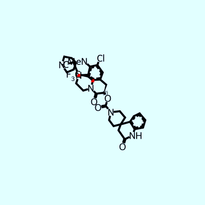 CNc1c(Cl)cc(C[C@@H](OC(=O)N2CCC3(CC2)CC(=O)Nc2ccccc23)C(=O)N2CCN(C3CN4CCC3CC4)CC2)cc1C(F)(F)F